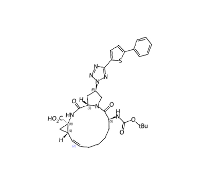 CC(C)(C)OC(=O)N[C@H]1CCCC/C=C\[C@@H]2C[C@@]2(C(=O)O)NC(=O)[C@@H]2C[C@@H](n3nnc(-c4ccc(-c5ccccc5)s4)n3)CN2C1=O